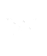 Clc1ncc(Cl)c(-n2ccnc2)n1